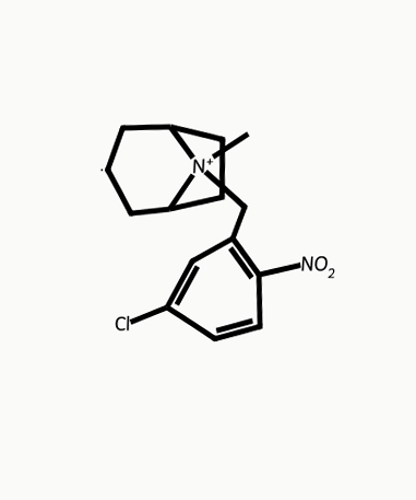 C[N+]1(Cc2cc(Cl)ccc2[N+](=O)[O-])C2C[CH]CC1CC2